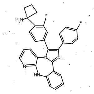 NC1(c2ccc(-c3c(-c4ccc(F)cc4)nc4n3-c3cccnc3Nc3ccccc3-4)cc2F)CCC1